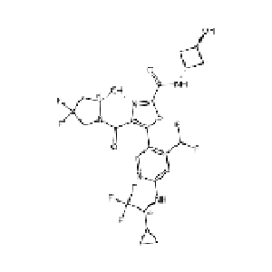 C[C@H]1CC(F)(F)CN1C(=O)c1nc(C(=O)N[C@H]2C[C@H](O)C2)sc1-c1cnc(N[C@@H](C2CC2)C(F)(F)F)cc1C(F)F